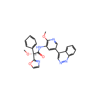 COc1ncc(-c2cnnc3ccccc23)cc1NC(=O)[C@](OC)(c1ccccc1)c1ncco1